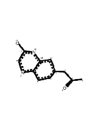 CC(=O)Cc1ccc2ncc(Cl)nc2c1